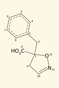 O=C(O)C1(Cc2ccccc2)CC=NO1